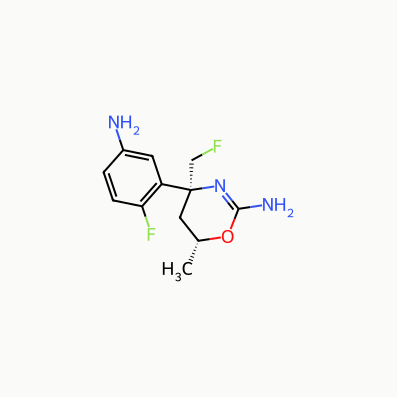 C[C@@H]1C[C@@](CF)(c2cc(N)ccc2F)N=C(N)O1